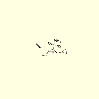 C=CC[C@@H](OC)[C@H](CC1CC1)S(N)(=O)=O